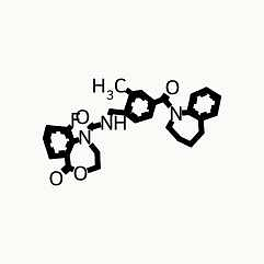 Cc1cc(C(=O)N2CCCCc3ccccc32)ccc1CNC(=O)N1CCOC(=O)c2cccc(F)c21